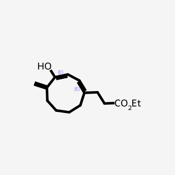 C=C1CCCC/C(CCC(=O)OCC)=C\C=C/1O